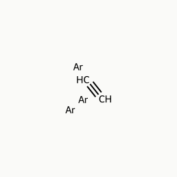 C#C.[Ar].[Ar].[Ar]